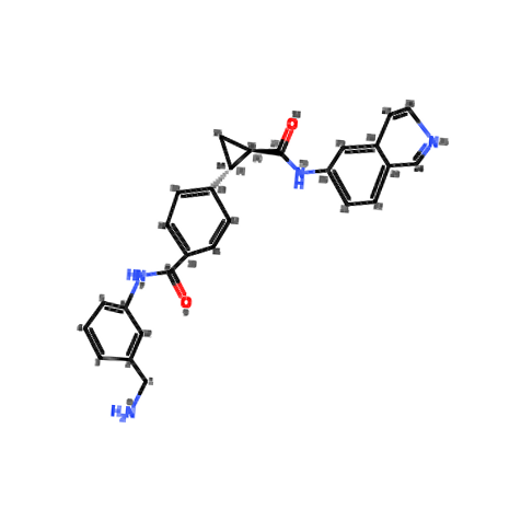 NCc1cccc(NC(=O)c2ccc([C@@H]3C[C@H]3C(=O)Nc3ccc4cnccc4c3)cc2)c1